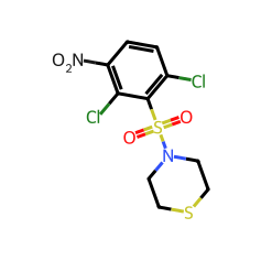 O=[N+]([O-])c1ccc(Cl)c(S(=O)(=O)N2CCSCC2)c1Cl